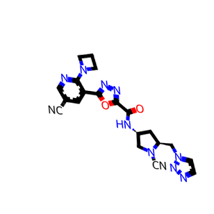 N#Cc1cnc(N2CCC2)c(-c2nnc(C(=O)N[C@@H]3C[C@@H](Cn4ccnn4)N(C#N)C3)o2)c1